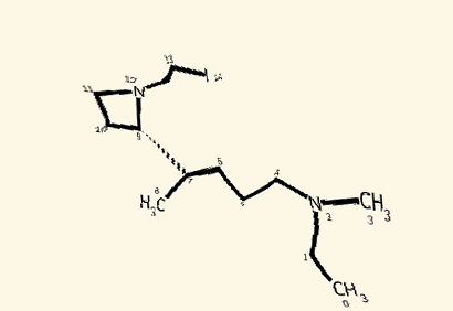 CCN(C)CCCC(C)[C@@H]1CCN1CI